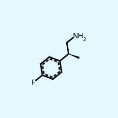 C[C@H](CN)c1ccc(F)cc1